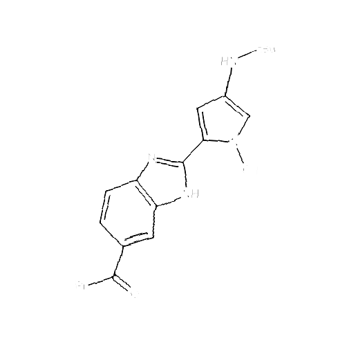 CC(C)C(=O)c1ccc2nc(-c3cc(NC(C)(C)C)cn3C)[nH]c2c1